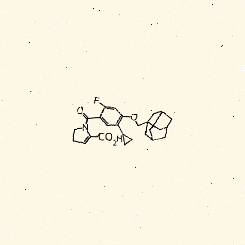 O=C(O)C1=CCCN1C(=O)c1cc(C2CC2)c(OCC23CC4CC(CC(C4)C2)C3)cc1F